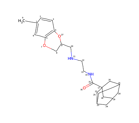 Cc1ccc2c(c1)OCC(CNCCNC(=O)C13CC4CC(CC(C4)C1)C3)O2